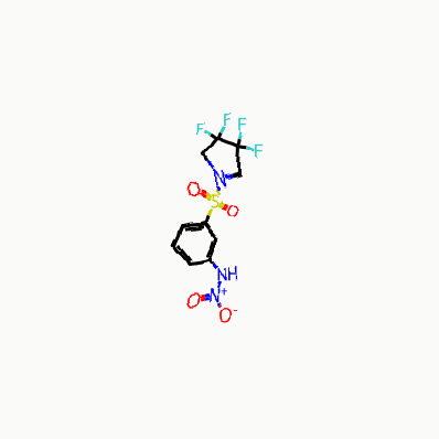 O=[N+]([O-])Nc1cccc(S(=O)(=O)N2CC(F)(F)C(F)(F)C2)c1